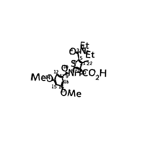 CCN(CC)C(=O)c1sc(NC(=O)c2cc(OC)cc(OC)c2)c(C(=O)O)c1C